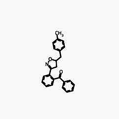 Cc1ccc(CC2CC(c3ccccc3C(=O)c3ccccc3)=NO2)cc1